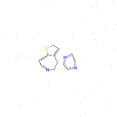 C1=NCCC2=CCSC2=C1.c1cnccn1